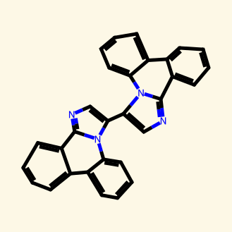 c1ccc2c(c1)c1ccccc1n1c(-c3cnc4c5ccccc5c5ccccc5n34)cnc21